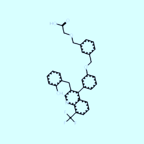 Cc1ccccc1Cc1cnc2c(C(F)(F)F)cccc2c1-c1cccc(OCc2cccc(COCC(=O)O)c2)c1